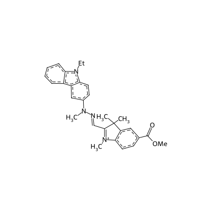 CCn1c2ccccc2c2cc(N(C)N=CC3=[N+](C)c4ccc(C(=O)OC)cc4C3(C)C)ccc21